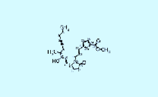 CCCC#CC[C@H](C)[C@H](O)C=C[C@H]1CCC(=O)N1CC=Cc1ccc(C(=O)OC)s1